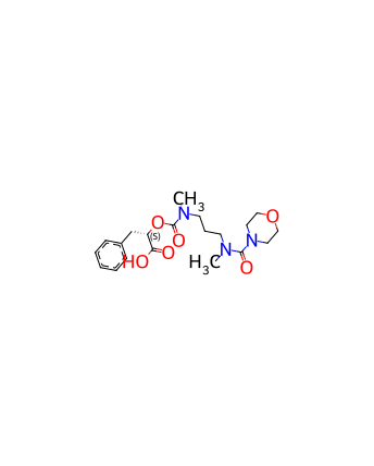 CN(CCCN(C)C(=O)N1CCOCC1)C(=O)O[C@@H](Cc1ccccc1)C(=O)O